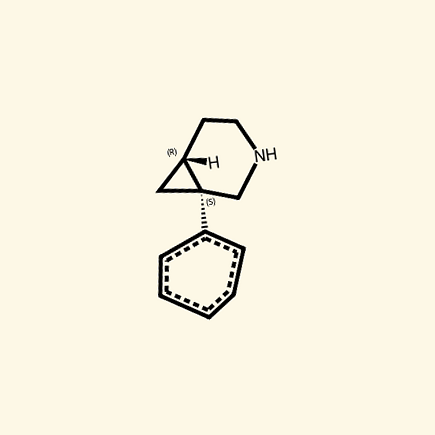 c1ccc([C@@]23CNCC[C@H]2C3)cc1